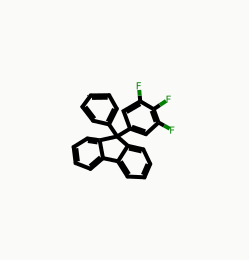 Fc1cc(C2(c3cc[c]cc3)c3ccccc3-c3ccccc32)cc(F)c1F